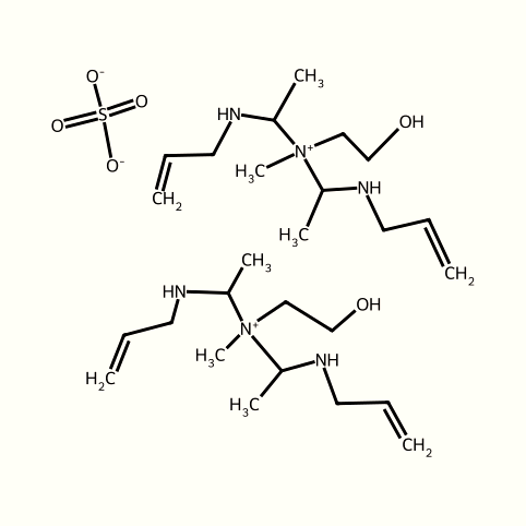 C=CCNC(C)[N+](C)(CCO)C(C)NCC=C.C=CCNC(C)[N+](C)(CCO)C(C)NCC=C.O=S(=O)([O-])[O-]